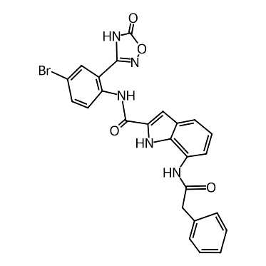 O=C(Cc1ccccc1)Nc1cccc2cc(C(=O)Nc3ccc(Br)cc3-c3noc(=O)[nH]3)[nH]c12